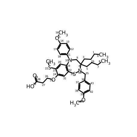 CCCCC1(CCCC)CN(c2ccc(OC)cc2)c2cc(SC)c(OCCC(=O)O)cc2SN1Cc1ccc(OC)cc1